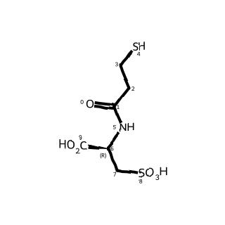 O=C(CCS)N[C@@H](CS(=O)(=O)O)C(=O)O